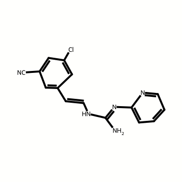 N#Cc1cc(Cl)cc(/C=C/NC(N)=Nc2ccccn2)c1